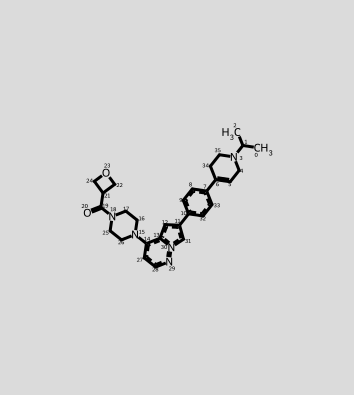 CC(C)N1CC=C(c2ccc(-c3cc4c(N5CCN(C(=O)C6COC6)CC5)ccnn4c3)cc2)CC1